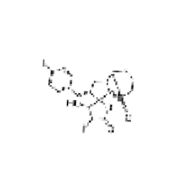 O=C1OC2(/C(=C/c3ccc(I)cc3)CC3CCCCN4C(=O)CCC342)C(O)C1I